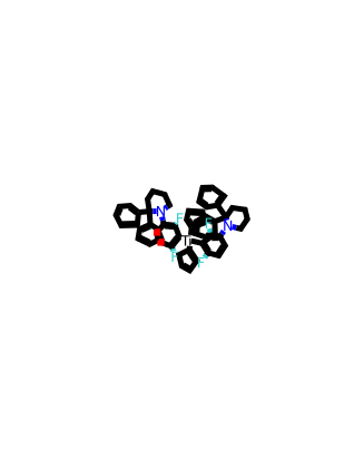 Fc1ccc(N2CCCCC2(c2ccccc2)c2ccccc2)c(F)[c]1[Ti]([C]1=CC=CC1)([C]1=CC=CC1)[c]1c(F)ccc(N2CCCCC2(c2ccccc2)c2ccccc2)c1F